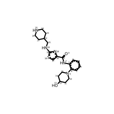 O=C(Nc1ccccc1N1CCC(O)CC1)c1csc(NCC2CCNCC2)n1